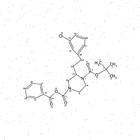 CC(C)(C)OC(=O)N1CCN(C(=O)OC(=O)c2ccccc2)CC1CCc1cccc(Cl)c1